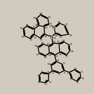 c1ccc(-c2cc(-c3ccccc3)cc(-c3c4ccccc4c(N(c4ccccn4)c4cc5ccccc5c5ccccc45)c4ccccc34)c2)cc1